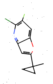 CC1(c2cc3nc(Cl)c(F)cc3o2)CC1